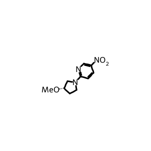 CO[C@H]1CCN(c2ccc([N+](=O)[O-])cn2)C1